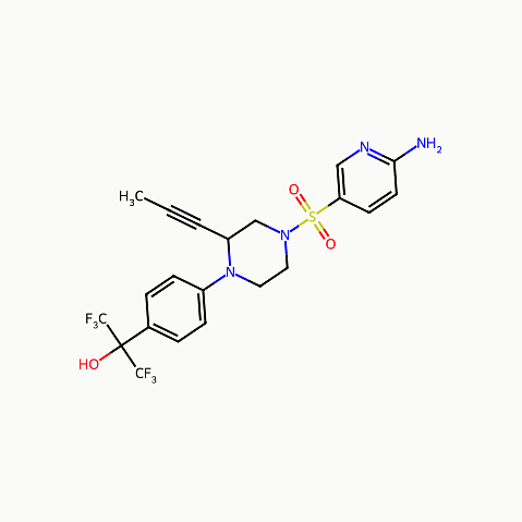 CC#CC1CN(S(=O)(=O)c2ccc(N)nc2)CCN1c1ccc(C(O)(C(F)(F)F)C(F)(F)F)cc1